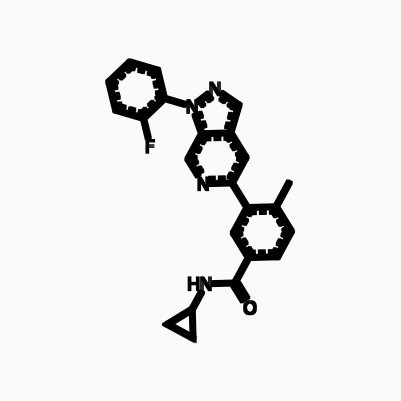 Cc1ccc(C(=O)NC2CC2)cc1-c1cc2cnn(-c3ccccc3F)c2cn1